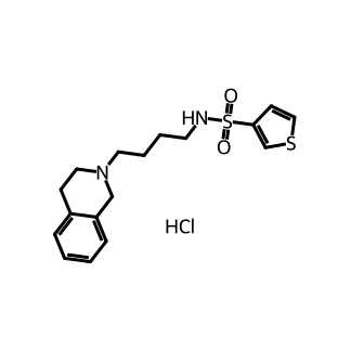 Cl.O=S(=O)(NCCCCN1CCc2ccccc2C1)c1ccsc1